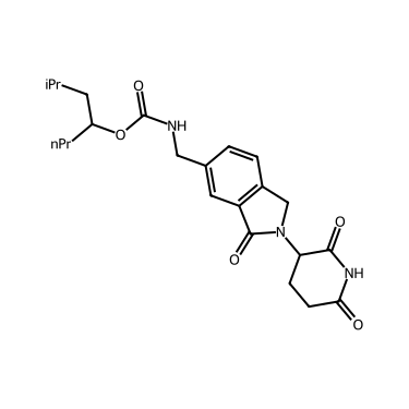 CCCC(CC(C)C)OC(=O)NCc1ccc2c(c1)C(=O)N(C1CCC(=O)NC1=O)C2